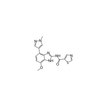 COc1ccc(-c2cnn(C)c2)c2nc(NC(=O)c3cncs3)[nH]c12